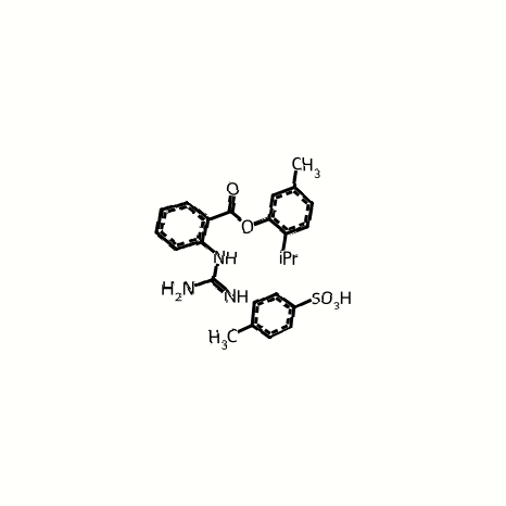 Cc1ccc(C(C)C)c(OC(=O)c2ccccc2NC(=N)N)c1.Cc1ccc(S(=O)(=O)O)cc1